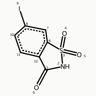 O=C1NS(=O)(=O)c2cc(I)ccc21